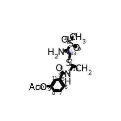 C=C(NC(=O)c1cccc(OC(C)=O)c1)S/C=C(\N)S(C)(=O)=O